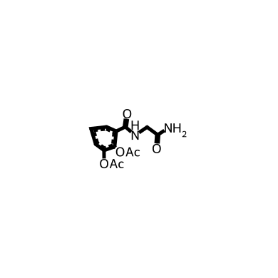 CC(=O)Oc1cccc(C(=O)NCC(N)=O)c1OC(C)=O